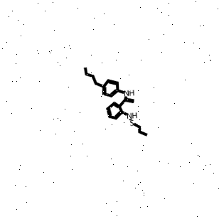 C=C(Nc1ccc(CCCC)cc1)c1ccccc1NSCCC